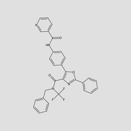 O=C(Nc1ccc(-c2oc(-c3ccccc3)nc2C(=O)N(Cc2ccccc2)C(F)(F)F)cc1)c1cccnc1